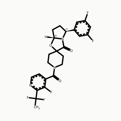 CC(F)(F)c1nccc(C(=O)N2CCC3(CC2)O[C@@H]2CC[C@@H](c4cc(F)cc(F)c4)N2C3=O)c1F